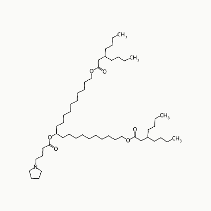 CCCCC(CCCC)CC(=O)OCCCCCCCCCCC(CCCCCCCCCCOC(=O)CC(CCCC)CCCC)OC(=O)CCCN1CCCC1